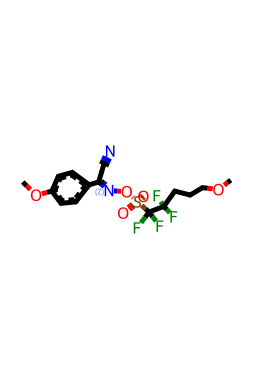 COCCCC(F)(F)C(F)(F)S(=O)(=O)O/N=C(\C#N)c1ccc(OC)cc1